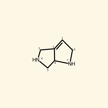 [CH]1C=C2CNCC2N1